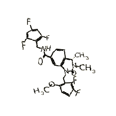 COc1ccc(F)c(F)c1CN1C(=O)N(C)[C@@H](C)c2ccc(C(=O)NCc3c(F)cc(F)cc3F)cc21